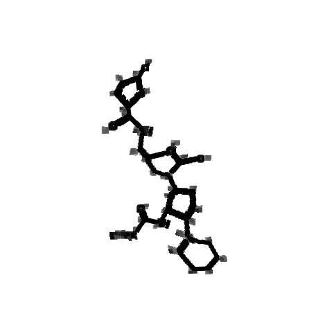 CCCCCCCC(=O)Nc1cc(N2CC(CNC(=O)c3ccc(Cl)s3)OC2=O)ccc1N1CCCCC1